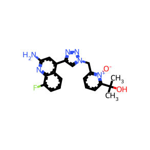 CC(C)(O)c1cccc(Cn2cc(-c3cc(N)nc4c(F)cccc34)nn2)[n+]1[O-]